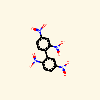 O=[N+]([O-])c1[c]c([N+](=O)[O-])c(-c2cc([N+](=O)[O-])ccc2[N+](=O)[O-])cc1